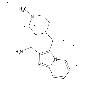 CN1CCN(Cc2c(CN)nc3ccccn23)CC1